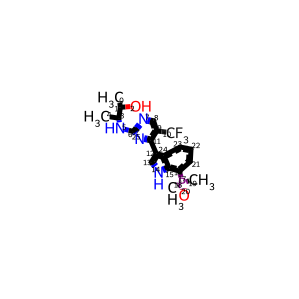 CC(O)C(C)Nc1ncc(C(F)(F)F)c(-c2c[nH]c3c(P(C)(C)=O)cccc23)n1